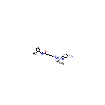 Cc1ccccc1CCNC(=O)CCCCCNc1ncc([N+](=O)[O-])c(NCC2CCC(CN)CC2)n1